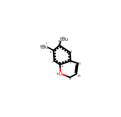 CC(C)(C)c1cc2c(cc1C(C)(C)C)OCC=C2